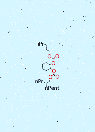 CCCCCC(CCC)COC(=O)OC1CCCCC1OC(=O)OCCCC(C)C